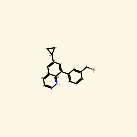 BrCc1cccc(-c2cc(C3CC3)cc3cccnc23)c1